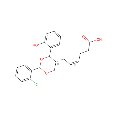 O=C(O)CC/C=C\C[C@@H]1COC(c2ccccc2Cl)OC1c1ccccc1O